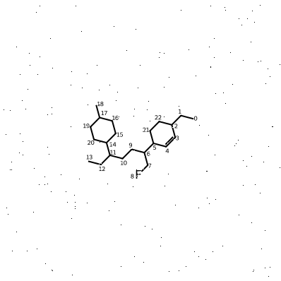 CCC1C=CC(C(CF)CCC(CC)C2CCC(C)CC2)CC1